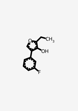 CCc1occ(-c2cccc(F)c2)c1O